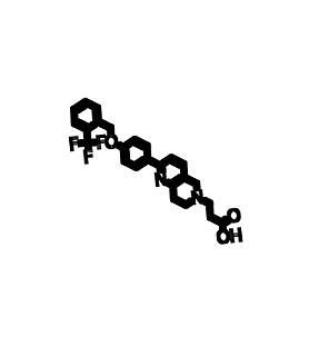 O=C(O)CCN1CCc2nc(-c3ccc(OCc4ccccc4C(F)(F)F)cc3)ccc2C1